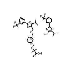 CC(C)c1oc(-c2cccc(C(F)(F)F)c2)nc1CI.CC(C)c1oc(-c2cccc(C(F)(F)F)c2)nc1COC[C@H]1CCC[C@@H](COC(C)(C)C(=O)O)C1